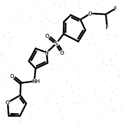 O=C(Nc1ccn(S(=O)(=O)c2ccc(OC(F)F)cc2)c1)c1ccco1